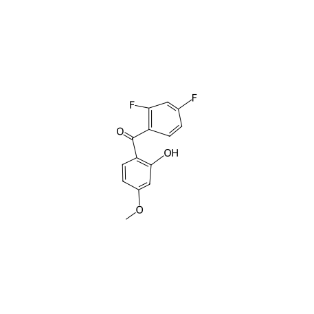 COc1ccc(C(=O)c2ccc(F)cc2F)c(O)c1